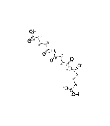 O=C(O)CCCC(=O)OC(=O)CCC(=O)OC(=O)CCCC(=O)O